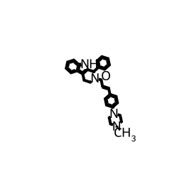 CN1CCN(c2ccc(C=CC(=O)N3CCc4c([nH]c5ccccc45)C3c3ccccc3)cc2)CC1